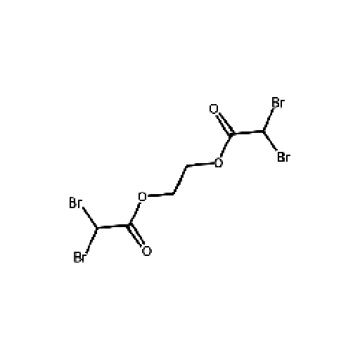 O=C(OCCOC(=O)C(Br)Br)C(Br)Br